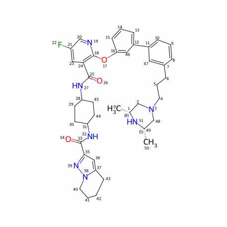 C[C@@H]1CN(CCCc2cccc(-c3cccc(Oc4ncc(F)cc4C(=O)NC4CCC(NC(=O)c5cc6n(n5)CCCC6)CC4)c3)c2)C[C@H](C)N1